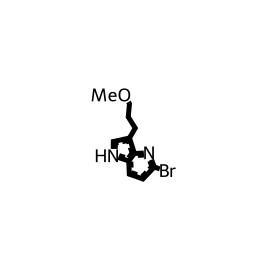 COCCCc1c[nH]c2ccc(Br)nc12